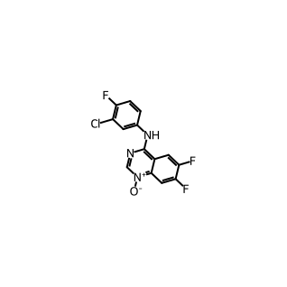 [O-][n+]1cnc(Nc2ccc(F)c(Cl)c2)c2cc(F)c(F)cc21